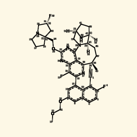 C#Cc1c(F)ccc2cc(OCOC)cc(-c3nc4c5c(nc(OC[C@@]67CCCN6C[C@H](F)C7)nc5c3F)N3C[C@H]5CC[C@H](N5)[C@H]3CC[C@H]4C)c12